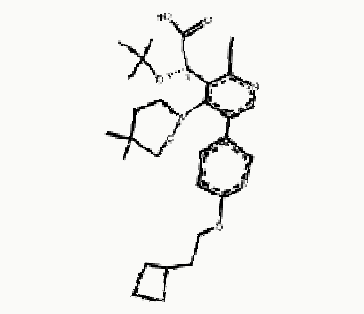 Cc1ncc(-c2ccc(OCCC3CCC3)nc2)c(N2CCC(C)(C)CC2)c1[C@H](OC(C)(C)C)C(=O)O